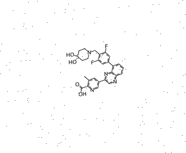 Cc1cc(-c2cnc3cccc(-c4cc(F)c(CN5CCS(O)(O)CC5)c(F)c4)c3n2)cnc1C(=O)O